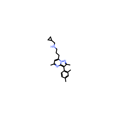 Cc1ccc(-c2c(C)nn3c(CCCNCC4CC4)cc(C)nc23)c(C)c1